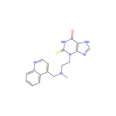 CN(CCn1c(=S)[nH]c(=O)c2[nH]cnc21)Cc1ccnc2ccccc12